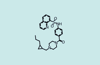 CCCC1CC1CN1CCN(C(=O)c2ccc(NS(=O)(=O)c3cccc4cccnc34)cc2)CC1